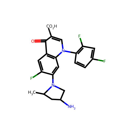 CC1CC(N)CN1c1cc2c(cc1F)c(=O)c(C(=O)O)cn2-c1ccc(F)cc1F